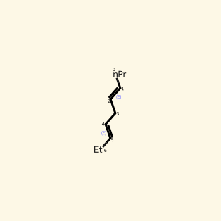 [CH2]CC/C=C/C/C=C/CC